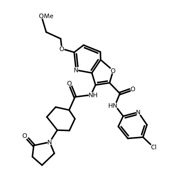 COCCOc1ccc2oc(C(=O)Nc3ccc(Cl)cn3)c(NC(=O)C3CCC(N4CCCC4=O)CC3)c2n1